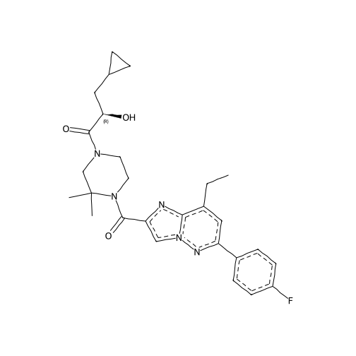 CCc1cc(-c2ccc(F)cc2)nn2cc(C(=O)N3CCN(C(=O)[C@H](O)CC4CC4)CC3(C)C)nc12